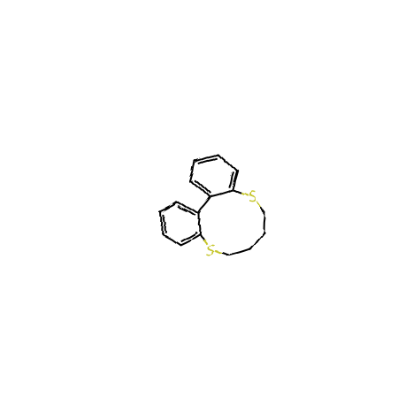 c1ccc2c(c1)SCCCCSc1ccccc1-2